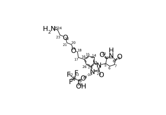 Cn1c(=O)n(C2CCC(=O)NC2=O)c2ccc(CCOCCOCCN)cc21.O=C(O)C(F)(F)F